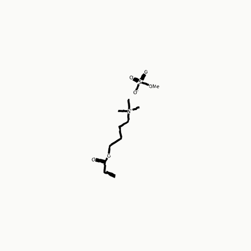 C=CC(=O)OCCCC[N+](C)(C)C.COS(=O)(=O)[O-]